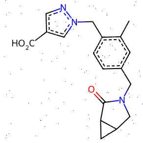 Cc1cc(CN2CC3CC3C2=O)ccc1Cn1cc(C(=O)O)cn1